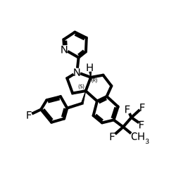 CC(F)(c1ccc2c(c1)CC[C@H]1N(c3ccccn3)CC[C@@]21Cc1ccc(F)cc1)C(F)(F)F